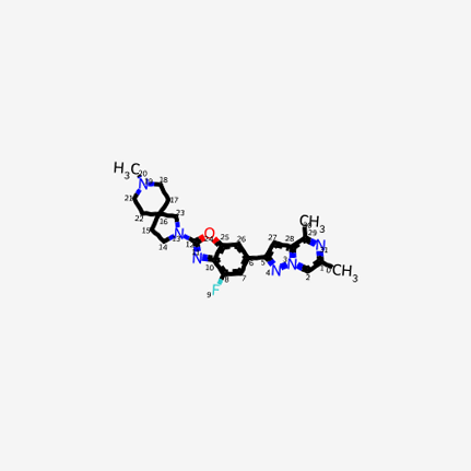 Cc1cn2nc(-c3cc(F)c4nc(N5CCC6(CCN(C)CC6)C5)oc4c3)cc2c(C)n1